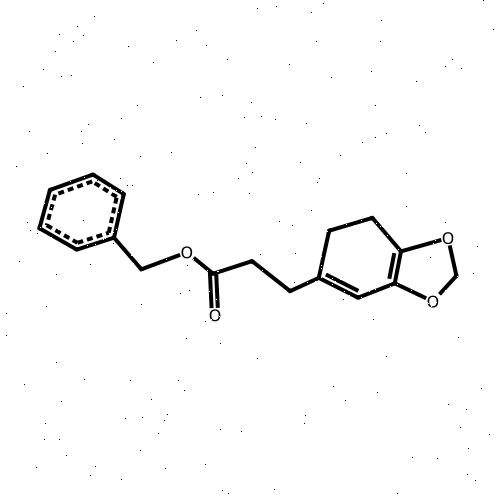 O=C(CCC1=CC2=C(CC1)OCO2)OCc1ccccc1